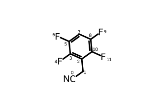 N#CCc1c(F)c(F)cc(F)c1F